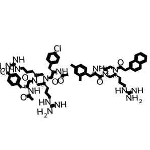 CC(=O)N[C@H](Cc1ccc(Cl)cc1)C(=O)N1C[C@H](CCCNC(=N)N)N(C(=O)[C@@H](Cc2ccc(Cl)cc2)NC(C)=O)C[C@@H]1CCCNC(=N)N.Cc1ccc(C[C@@H](N)C(=O)N2C[C@H](CCCNC(=N)N)N(C(=O)Cc3ccc4ccccc4c3)C[C@H]2C)c(C)c1